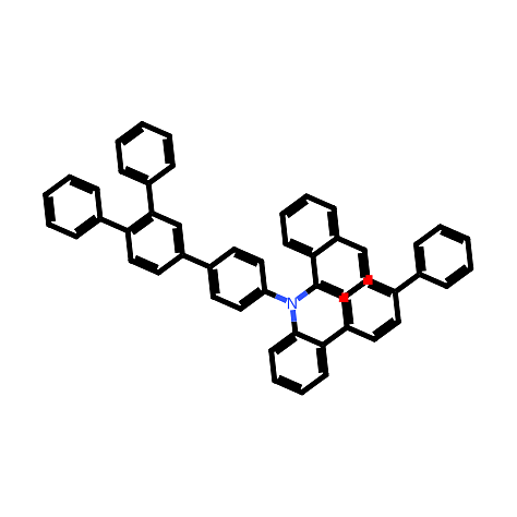 c1ccc(-c2ccc(-c3ccccc3N(c3ccc(-c4ccc(-c5ccccc5)c(-c5ccccc5)c4)cc3)c3cccc4ccccc34)cc2)cc1